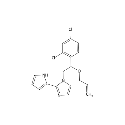 C=CCOC(Cn1ccnc1-c1ccc[nH]1)c1ccc(Cl)cc1Cl